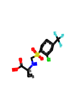 C[C@H](NCS(=O)(=O)c1ccc(C(F)(F)F)cc1Cl)C(=O)O